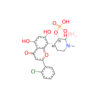 BC1[C@@H](OP(=O)(O)O)[C@@H](c2c(O)cc(O)c3c(=O)cc(-c4ccccc4Cl)oc23)CCN1C